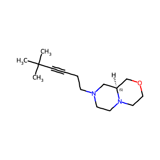 CC(C)(C)C#CCCN1CCN2CCOC[C@@H]2C1